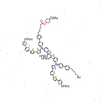 CCCCCCc1ccc(-c2ccc(-c3ccc(-c4ccc(N(c5ccc(-c6ccc(CCCCCC(C)=O)cc6)cc5)c5ccc6sc(-c7sc8ccc(N(c9ccc(-c%10ccc(CCCCCC(=O)OC%11CCC(OC)CC%11)cc%10)cc9)c9ccc(-c%10ccc(-c%11ccc(-c%12ccc(CCCCCC)s%12)s%11)s%10)s9)cc8c7CCCCCC)c(CCCCCC)c6c5)s4)s3)s2)s1